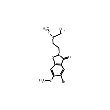 CCN(CC)CCn1sc2cc(OC)c(Br)cc2c1=O